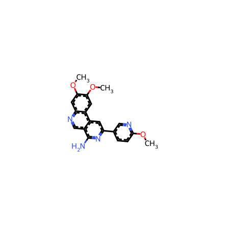 COc1ccc(-c2cc3c(cnc4cc(OC)c(OC)cc43)c(N)n2)cn1